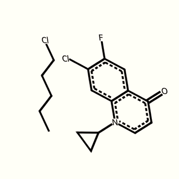 CCCCCCl.O=c1ccn(C2CC2)c2cc(Cl)c(F)cc12